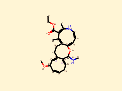 CCOC(=O)c1c(C)[nH]cccc2c(c1C)CCC1=C/C(OC)C=CC/C=C\1C(NC)O2